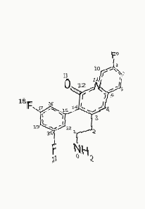 NCCc1cc2ccc(F)cn2c(=O)c1-c1cc(F)cc(F)c1